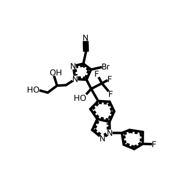 N#Cc1nn(CC(O)CO)c(C(O)(c2ccc3c(cnn3-c3ccc(F)cc3)c2)C(F)(F)F)c1Br